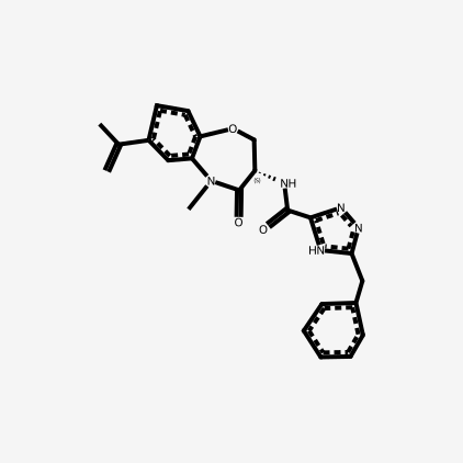 C=C(C)c1ccc2c(c1)N(C)C(=O)[C@@H](NC(=O)c1nnc(Cc3ccccc3)[nH]1)CO2